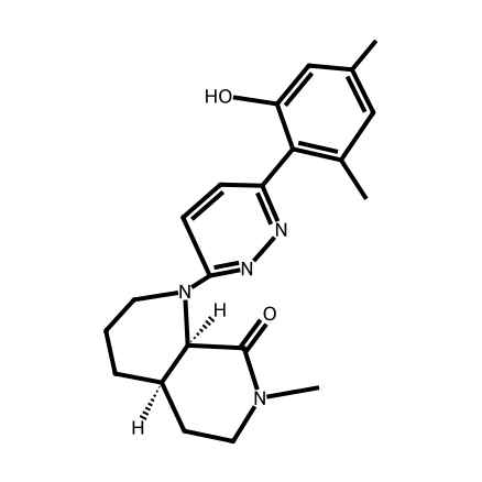 Cc1cc(C)c(-c2ccc(N3CCC[C@@H]4CCN(C)C(=O)[C@@H]43)nn2)c(O)c1